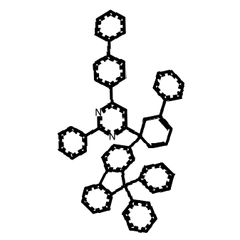 C1=CC(c2ccc3c(c2)C(c2ccccc2)(c2ccccc2)c2ccccc2-3)(c2cc(-c3ccc(-c4ccccc4)cc3)nc(-c3ccccc3)n2)CC(c2ccccc2)=C1